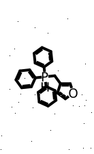 c1ccc([PH](Cc2ccoc2)(c2ccccc2)c2ccccc2)cc1